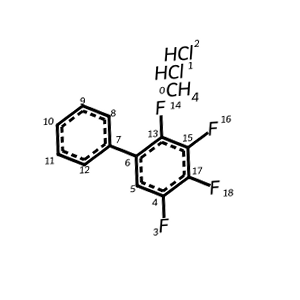 C.Cl.Cl.Fc1cc(-c2ccccc2)c(F)c(F)c1F